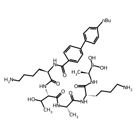 CCCCc1ccc(-c2ccc(C(=O)N[C@H](CCCCN)C(=O)N[C@H](C(=O)N[C@@H](C)C(=O)N[C@@H](CCCCN)C(=O)N[C@@H](C)B(O)O)C(C)O)cc2)cc1